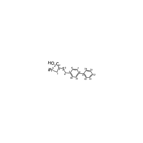 CC(C)CC(SCc1ccc(-c2ccccc2)cc1)C(=O)O